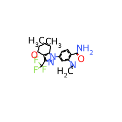 C=Nc1cc(-n2nc(C(F)(F)F)c3c2CC(C)(C)CC3=O)ccc1C(N)=O